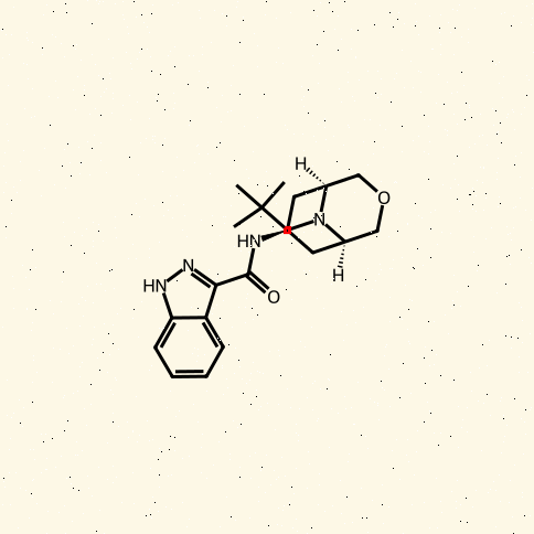 CC(C)(C)CN1[C@@H]2COC[C@H]1C[C@@H](NC(=O)c1n[nH]c3ccccc13)C2